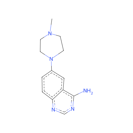 CN1CCN(c2ccc3ncnc(N)c3c2)CC1